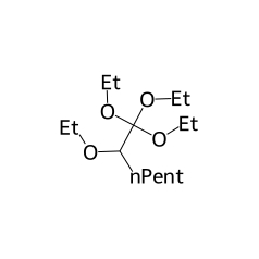 CCCCCC(OCC)C(OCC)(OCC)OCC